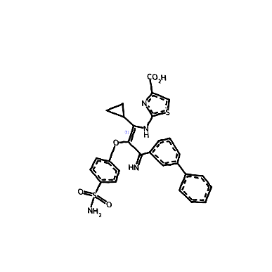 N=C(/C(Oc1ccc(S(N)(=O)=O)cc1)=C(\Nc1nc(C(=O)O)cs1)C1CC1)c1cccc(-c2ccccc2)c1